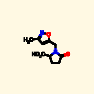 Cc1cc(CN2C(=O)CCC2C(=O)O)on1